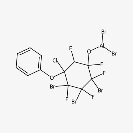 FC1C(F)([O][Al]([Br])[Br])C(F)(Br)C(F)(Br)C(F)(Br)C1(Cl)Oc1ccccc1